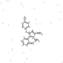 Nc1nn(Cc2ccc(Cl)cc2)c(-c2ccccc2Cl)c1N